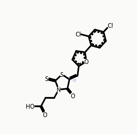 O=C(O)CCN1C(=O)/C(=C/c2ccc(-c3ccc(Cl)cc3Cl)o2)SC1=S